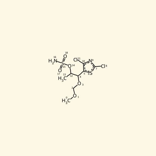 COCOC(c1sc(Cl)nc1Cl)C(C)OS(N)(=O)=O